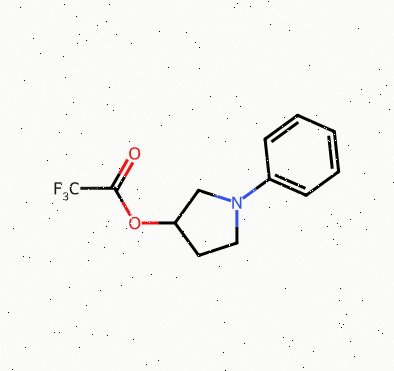 O=C(OC1CCN(c2ccccc2)C1)C(F)(F)F